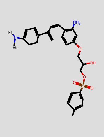 C=C(/C=C\c1ccc(OCC(O)COS(=O)(=O)c2ccc(C)cc2)cc1N)C1=CC=C(N(CC)CC)CC1